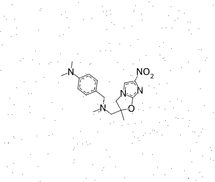 CN(Cc1ccc(N(C)C)cc1)CC1(C)Cn2cc([N+](=O)[O-])nc2O1